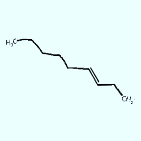 [CH2]C/C=C/CCCCC